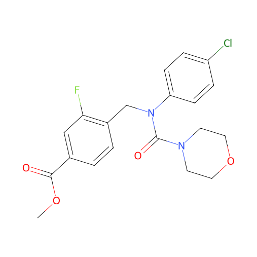 COC(=O)c1ccc(CN(C(=O)N2CCOCC2)c2ccc(Cl)cc2)c(F)c1